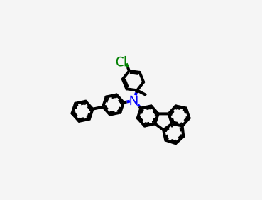 CC1(N(c2ccc(-c3ccccc3)cc2)c2ccc3c(c2)-c2cccc4cccc-3c24)C=CC(Cl)=CC1